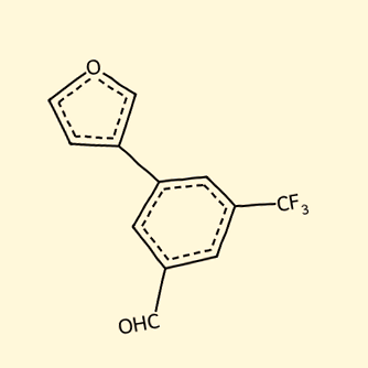 O=Cc1cc(-c2ccoc2)cc(C(F)(F)F)c1